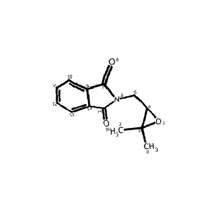 CC1(C)OC1CN1C(=O)c2ccccc2C1=O